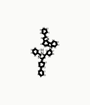 C1=C(c2ccc(-c3ccccc3)cc2)N=C(c2ccccc2)NC1c1cccc(-n2c3ccccc3c3c4sc(-c5ccccc5)cc4ccc32)c1